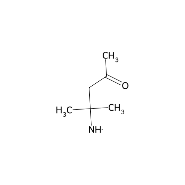 CC(=O)CC(C)(C)[NH]